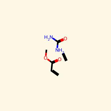 C=C.C=CC(=O)OC.NC(N)=O